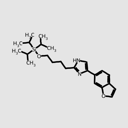 CC(C)[Si](OCCCCc1nc(-c2ccc3ccoc3c2)c[nH]1)(C(C)C)C(C)C